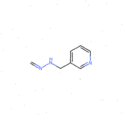 C=NNCc1cccnc1